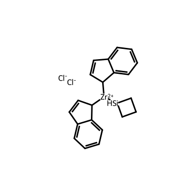 C1=C[CH]([Zr+2]([CH]2C=Cc3ccccc32)[SiH]2CCC2)c2ccccc21.[Cl-].[Cl-]